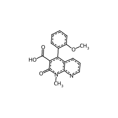 COc1ccccc1-c1c(C(=O)O)c(=O)n(C)c2ncccc12